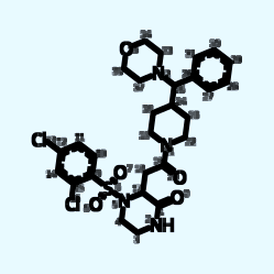 O=C1NCCN(S(=O)(=O)c2ccc(Cl)cc2Cl)C1CC(=O)N1CCC(C(c2ccccc2)N2CCOCC2)CC1